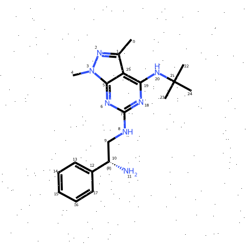 Cc1nn(C)c2nc(NC[C@H](N)c3ccccc3)nc(NC(C)(C)C)c12